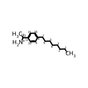 CCCCCCCCc1ccc(C(C)N)cc1